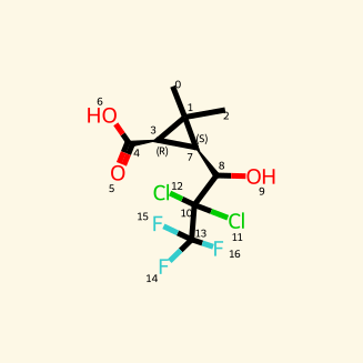 CC1(C)[C@H](C(=O)O)[C@@H]1C(O)C(Cl)(Cl)C(F)(F)F